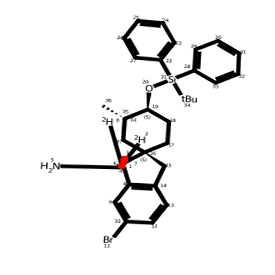 [2H]C1([2H])OC(N)=NC12c1cc(Br)ccc1C[C@@]21CC[C@H](O[Si](c2ccccc2)(c2ccccc2)C(C)(C)C)[C@@H](C)C1